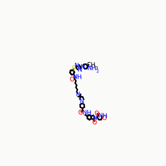 CC1(N)CCN(c2cnc(Sc3cccc(NC(=O)CCCCCCN4CC5(CCN(C6CCC(C(=O)NCc7ccc8c(c7)CN(C7CCC(=O)NC7=O)C8=O)CC6)C5)C4)c3)cn2)CC1